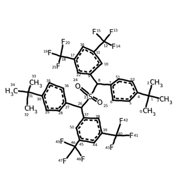 CC(C)(C)c1ccc(C(c2cc(C(F)(F)F)cc(C(F)(F)F)c2)S(=O)(=O)C(c2ccc(C(C)(C)C)cc2)c2cc(C(F)(F)F)cc(C(F)(F)F)c2)cc1